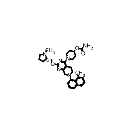 Cc1cccc2cccc(N3CCc4c(nc(OC[C@@H]5CCCN5C)nc4N4CCC(OC(N)=O)CC4)C3)c12